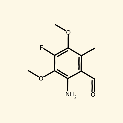 COc1c(C)c(C=O)c(N)c(OC)c1F